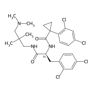 CN(C)CC(C)(C)CNC(=O)[C@H](Cc1ccc(Cl)cc1Cl)NC(=O)C1(c2ccc(Cl)cc2Cl)CC1